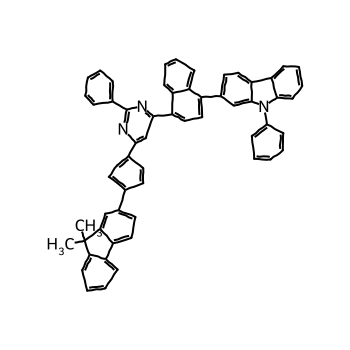 CC1(C)c2ccccc2-c2ccc(-c3ccc(-c4cc(-c5ccc(-c6ccc7c8ccccc8n(-c8ccccc8)c7c6)c6ccccc56)nc(-c5ccccc5)n4)cc3)cc21